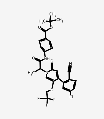 CC(C(=O)Nc1ccc(C(=O)OC(C)(C)C)cc1)n1cc(OCC(F)(F)F)c(-c2cc(Cl)ccc2C#N)cc1=O